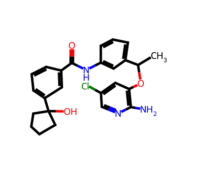 CC(Oc1cc(Cl)cnc1N)c1cccc(NC(=O)c2cccc(C3(O)CCCC3)c2)c1